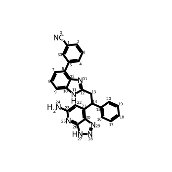 N#Cc1cccc(-c2cccc3[nH]c(CC(c4ccccc4)c4cc(N)nc5[nH]nnc45)nc23)c1